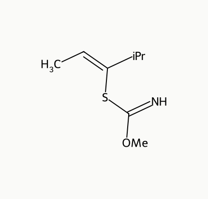 C/C=C(\SC(=N)OC)C(C)C